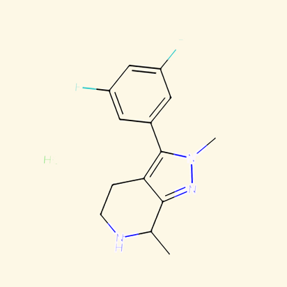 CC1NCCc2c1nn(C)c2-c1cc(F)cc(F)c1.Cl